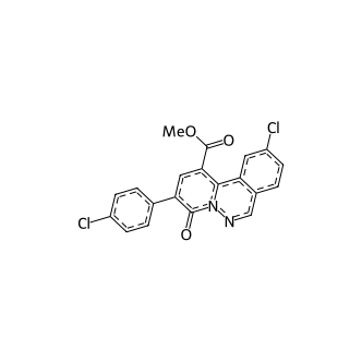 COC(=O)c1cc(-c2ccc(Cl)cc2)c(=O)n2ncc3ccc(Cl)cc3c12